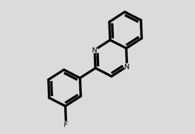 Fc1cccc(-c2cnc3ccccc3n2)c1